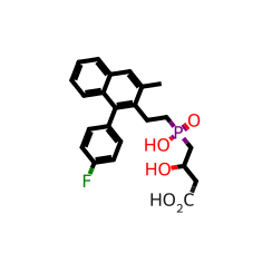 Cc1cc2ccccc2c(-c2ccc(F)cc2)c1CCP(=O)(O)CC(O)CC(=O)O